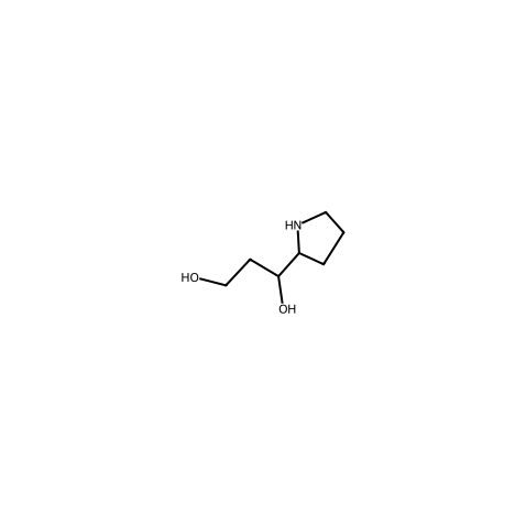 OCCC(O)C1CCCN1